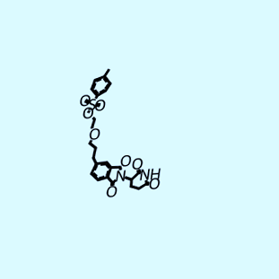 Cc1ccc(S(=O)(=O)OCCOCCCc2ccc3c(c2)C(=O)N(C2CCC(=O)NC2=O)C3=O)cc1